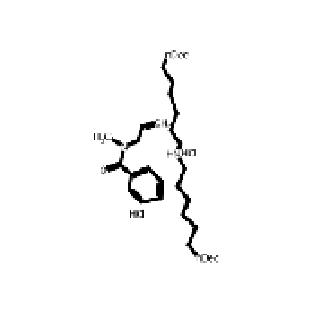 C=CCN(C)C(=O)c1ccccc1.CCCCCCCCCCCCCCCCNCCCCCCCCCCCCCCCC.Cl.Cl